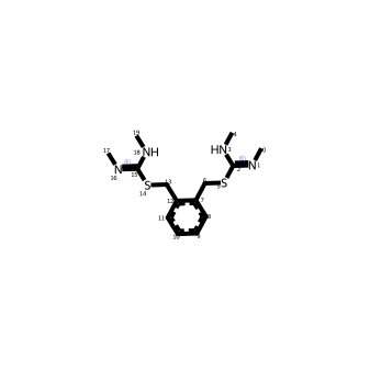 C/N=C(\NC)SCc1ccccc1CS/C(=N/C)NC